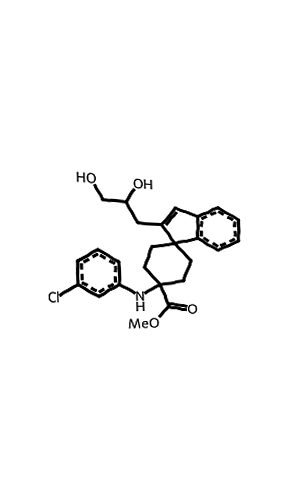 COC(=O)C1(Nc2cccc(Cl)c2)CCC2(CC1)C(CC(O)CO)=Cc1ccccc12